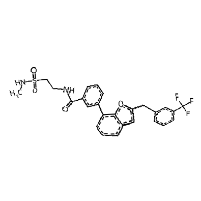 CNS(=O)(=O)CCNC(=O)c1cccc(-c2cccc3cc(Cc4cccc(C(F)(F)F)c4)oc23)c1